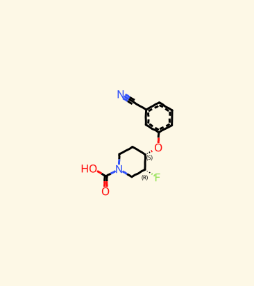 N#Cc1cccc(O[C@H]2CCN(C(=O)O)C[C@H]2F)c1